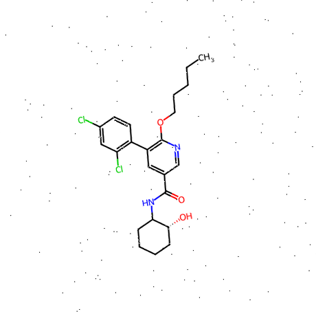 CCCCCOc1ncc(C(=O)NC2CCCC[C@H]2O)cc1-c1ccc(Cl)cc1Cl